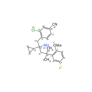 COc1ccc(F)cc1C(C)(C)CC(N)(Cc1ccc(C#N)cc1Cl)C1CC1